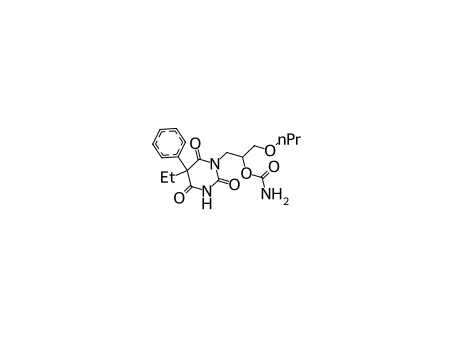 CCCOCC(CN1C(=O)NC(=O)C(CC)(c2ccccc2)C1=O)OC(N)=O